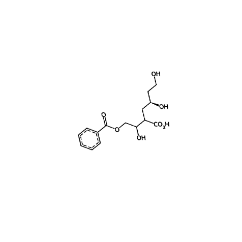 O=C(OCC(O)C(C[C@H](O)CCO)C(=O)O)c1ccccc1